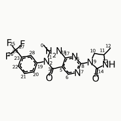 CCN(C(=O)c1cnc(N2CC(C)NC2=O)nc1N)c1cccc(C(F)(F)F)c1